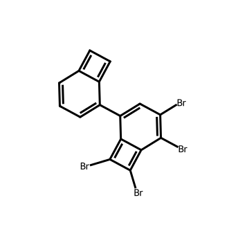 BrC1=c2c(-c3cccc4c3=CC=4)cc(Br)c(Br)c2=C1Br